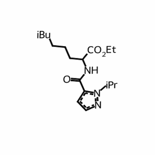 CCOC(=O)C(CCCC(C)CC)NC(=O)c1ccnn1C(C)C